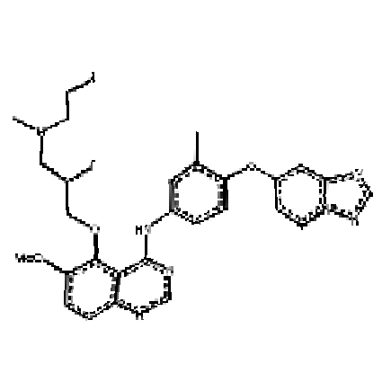 COc1ccc2ncnc(Nc3ccc(Oc4ccn5ncnc5c4)c(C)c3)c2c1OCC(F)CN(C)CCI